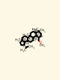 CO/C=C1\CCC(C)(C)[C@@H]2CC[C@]3(C)[C@H](CC[C@@H]4[C@H]5[C@H](C(C)C)CC[C@]5(C)CC[C@]43C)[C@@]12C